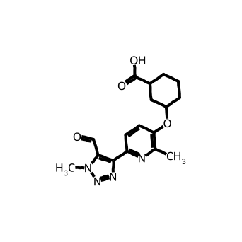 Cc1nc(-c2nnn(C)c2C=O)ccc1OC1CCCC(C(=O)O)C1